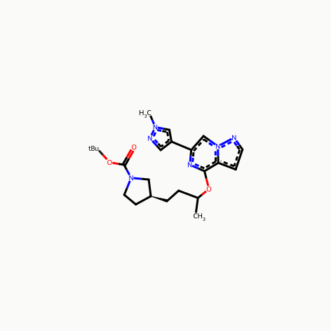 CC(CC[C@H]1CCN(C(=O)OC(C)(C)C)C1)Oc1nc(-c2cnn(C)c2)cn2nccc12